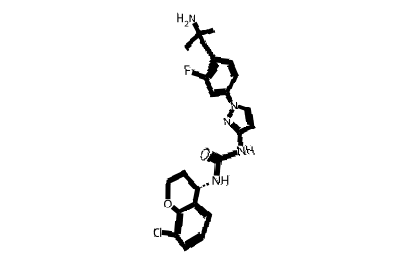 CC(C)(N)c1ccc(-n2ccc(NC(=O)N[C@H]3CCOc4c(Cl)cccc43)n2)cc1F